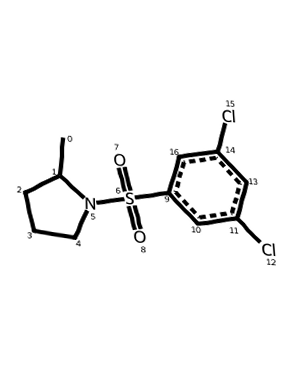 CC1CCCN1S(=O)(=O)c1cc(Cl)cc(Cl)c1